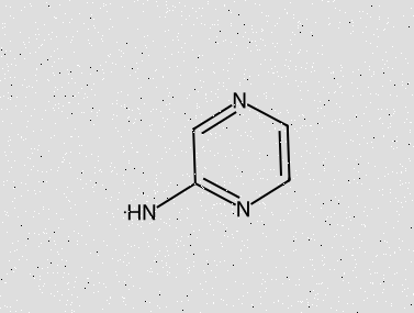 [NH]c1cnccn1